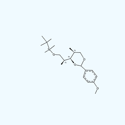 COc1ccc(C2OC[C@H](C)[C@H]([C@@H](C)CO[Si](C)(C)C(C)(C)C)O2)cc1